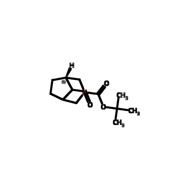 CC(C)(C)OC(=O)N1CC2CC[C@H](C1)C2C=O